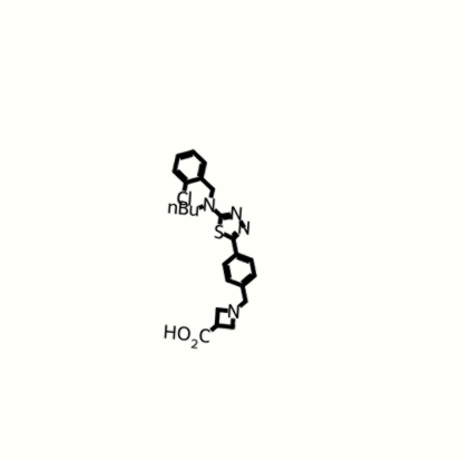 CCCCN(Cc1ccccc1Cl)c1nnc(-c2ccc(CN3CC(C(=O)O)C3)cc2)s1